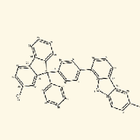 Fc1ccc2oc3c(-c4ccc(C5(c6ccccc6)c6ccccc6-c6ccc(Cl)cc65)cc4)cccc3c2c1